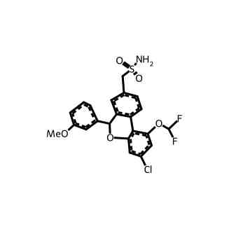 COc1cccc(C2Oc3cc(Cl)cc(OC(F)F)c3-c3ccc(CS(N)(=O)=O)cc32)c1